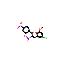 COc1cc(Br)cc2c1OC(c1ccc([N+](=O)[O-])cc1)C([N+](=O)[O-])=C2